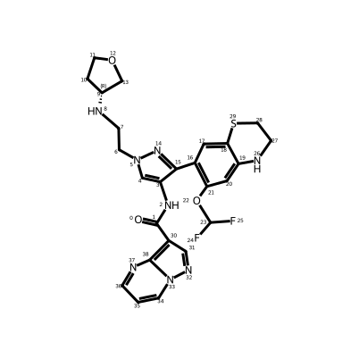 O=C(Nc1cn(CCN[C@@H]2CCOC2)nc1-c1cc2c(cc1OC(F)F)NCCS2)c1cnn2cccnc12